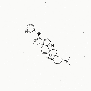 CN(C)[C@H]1CCC2=CC3=CC[C@]4(C)C(C(=O)Nc5cccnc5)=CC[C@H]4[C@@]34CCC2(C1)O4